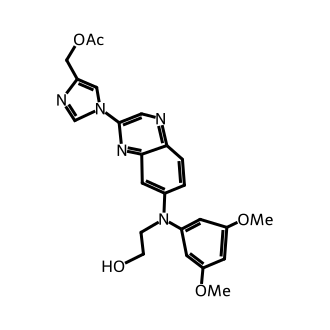 COc1cc(OC)cc(N(CCO)c2ccc3ncc(-n4cnc(COC(C)=O)c4)nc3c2)c1